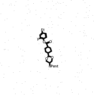 CCCCCC1COC(C2CCC(C(=O)Oc3ccc(CC)cc3F)CC2)OC1